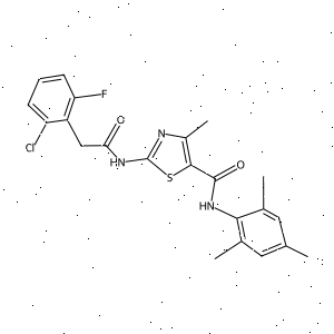 Cc1cc(C)c(NC(=O)c2sc(NC(=O)Cc3c(F)cccc3Cl)nc2C)c(C)c1